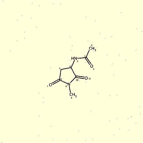 CC(=O)NC1CC(=O)N(C)C1=O